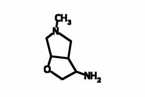 CN1CC2OCC(N)C2C1